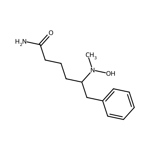 CN(O)C(CCCC(N)=O)Cc1ccccc1